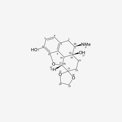 CN[C@@H]1Cc2ccc(O)c3c2C2[C@@H](O3)C3(CC[C@]21O)OCCO3